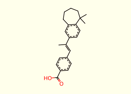 CC(=Cc1ccc(C(=O)O)cc1)c1ccc2c(c1)CCCCC2(C)C